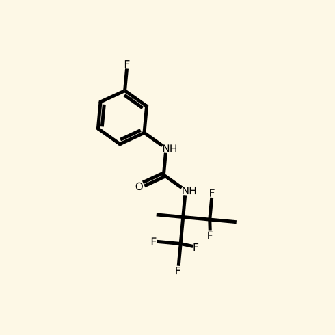 CC(F)(F)C(C)(NC(=O)Nc1cccc(F)c1)C(F)(F)F